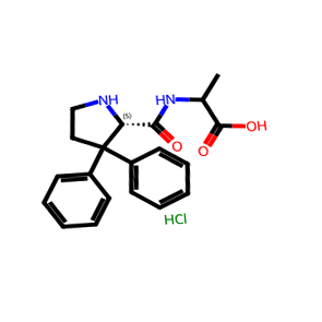 CC(NC(=O)[C@H]1NCCC1(c1ccccc1)c1ccccc1)C(=O)O.Cl